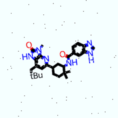 Cn1c(=O)[nH]c2c(CC(C)(C)C)cc(C3CCC(C)(C)C(NC(=O)c4ccc5nc[nH]c5c4)C3)nc21